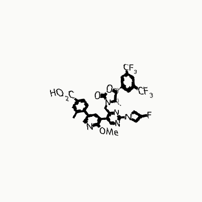 COc1ncc(-c2ccc(C(=O)O)cc2C)cc1-c1cnc(N2CC(F)C2)nc1CN1C(=O)O[C@H](c2cc(C(F)(F)F)cc(C(F)(F)F)c2)[C@@H]1C